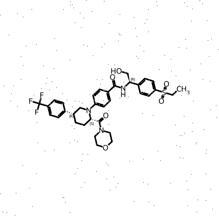 CCS(=O)(=O)c1ccc([C@H](CO)NC(=O)c2ccc(N3C[C@@H](c4ccc(C(F)(F)F)cc4)CC[C@H]3C(=O)N3CCOCC3)cc2)cc1